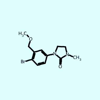 COCc1cc(N2CCN(C)C2=O)ccc1Br